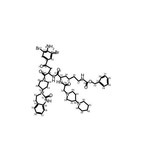 Nc1c(Br)cc(C(=O)CC(NC(=O)C(CCCCNC(=O)OCc2ccccc2)NC(=O)CN2CCC(N3CCCCC3)CC2)C(=O)N2CCC(N3CCc4ccccc4NC3=O)CC2)cc1Br